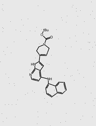 CC(C)(C)OC(=O)N1CC=C(c2cc3c(Nc4cccc5ccccc45)ccnc3[nH]2)CC1